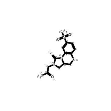 CS(=O)(=O)c1ccc2c(c1)N1C(=S)N(CC(N)=O)CC1CS2